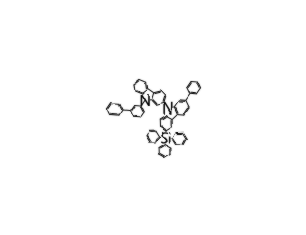 c1ccc(-c2cccc(-n3c4ccccc4c4ccc(-n5c6ccc([Si](c7ccccc7)(c7ccccc7)c7ccccc7)cc6c6ccc(-c7ccccc7)cc65)cc43)c2)cc1